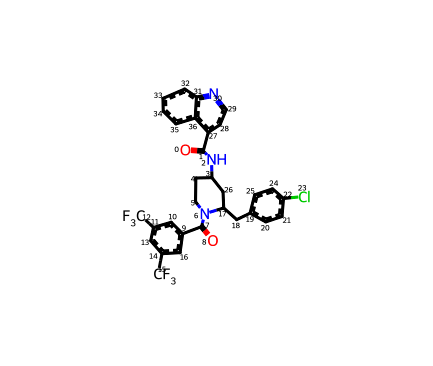 O=C(NC1CCN(C(=O)c2cc(C(F)(F)F)cc(C(F)(F)F)c2)C(Cc2ccc(Cl)cc2)C1)c1ccnc2ccccc12